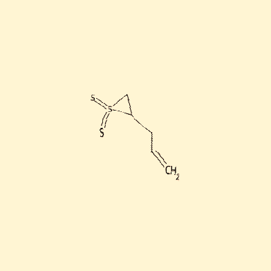 C=CCC1CS1(=S)=S